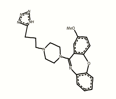 COc1ccc2c(c1)C(N1CCN(CCCc3nnn[nH]3)CC1)=Nc1ccccc1O2